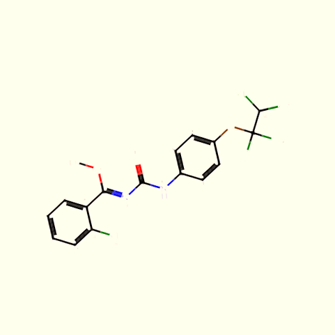 CCO/C(=N\C(=O)Nc1ccc(SC(F)(F)C(Cl)Cl)cc1)c1ccccc1Cl